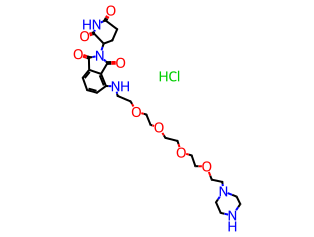 Cl.O=C1CCC(N2C(=O)c3cccc(NCCOCCOCCOCCOCCN4CCNCC4)c3C2=O)C(=O)N1